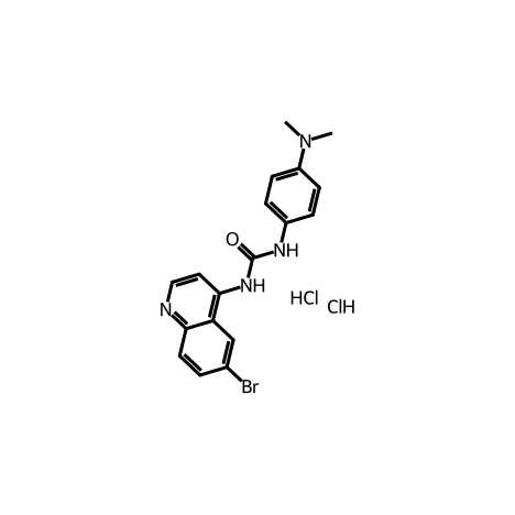 CN(C)c1ccc(NC(=O)Nc2ccnc3ccc(Br)cc23)cc1.Cl.Cl